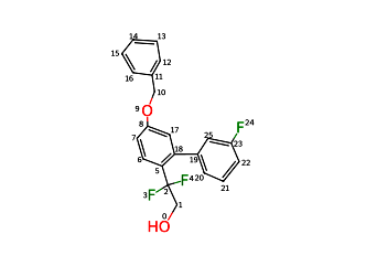 OCC(F)(F)c1ccc(OCc2ccccc2)cc1-c1cccc(F)c1